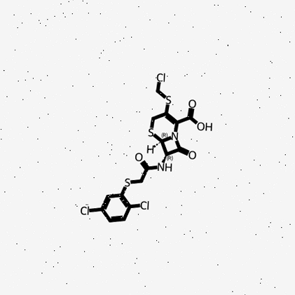 O=C(CSc1cc(Cl)ccc1Cl)N[C@@H]1C(=O)N2C(C(=O)O)=C(SCCl)CS[C@H]12